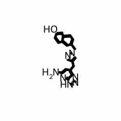 Nc1cc(Cc2cnn(Cc3ccc4cc(O)ccc4c3)c2)c2nn[nH]c2n1